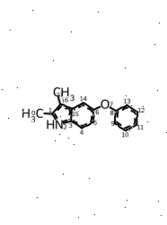 Cc1[nH]c2ccc(Oc3c[c]ccc3)cc2c1C